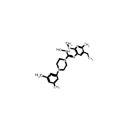 CCc1cc(N=C(NO)N2CCN(c3cc(C)cc(C)c3)CC2)c(OC)nc1C